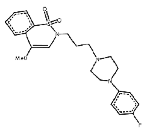 COC1=CN(CCCN2CCN(c3ccc(F)cc3)CC2)S(=O)(=O)c2ccccc21